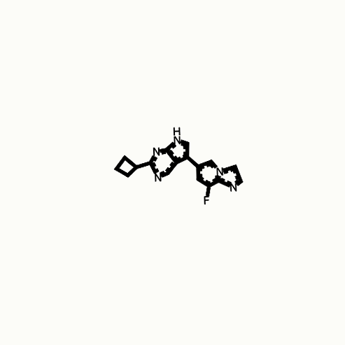 Fc1cc(-c2c[nH]c3nc(C4CCC4)ncc23)cn2ccnc12